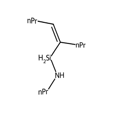 CCCC=C(CCC)[SiH2]NCCC